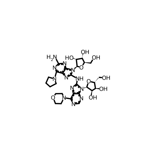 Nc1nc(N2CCCC2)c2nc(Nc3nc4c(N5CCOCC5)ncnc4n3[C@@H]3O[C@H](CO)[C@@H](O)[C@H]3O)n([C@@H]3O[C@H](CO)[C@@H](O)[C@H]3O)c2n1